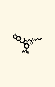 CCCCOC(=O)Cn1c(C)c(Cc2ccc3c(c2)CCS3)c2cc([N+](=O)[O-])ccc21